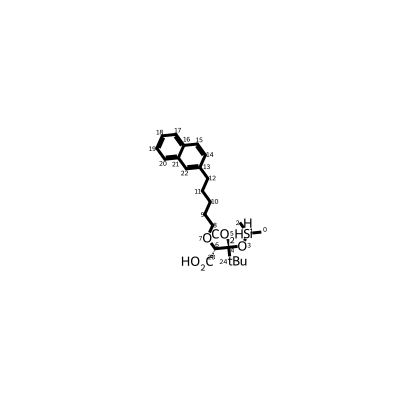 C[SiH](C)O[C@@](C(=O)O)([C@@H](OCCCCCc1ccc2ccccc2c1)C(=O)O)C(C)(C)C